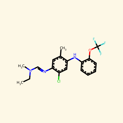 CCN(C)C=Nc1cc(C)c(Nc2ccccc2OC(F)(F)F)cc1Cl